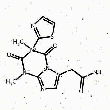 CN1C(=O)[N+](C)(c2nccs2)C(=O)n2c(CC(N)=O)cnc21